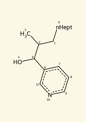 CCCCCCCCC(C)C(O)c1cccnc1